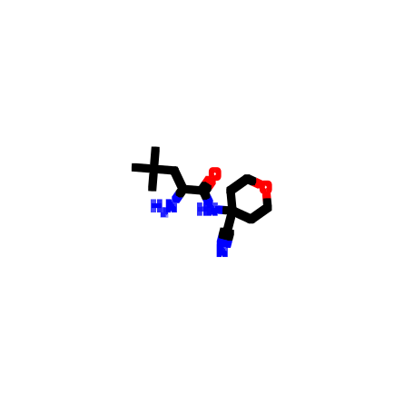 CC(C)(C)CC(N)C(=O)NC1(C#N)CCOCC1